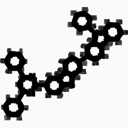 c1ccc(-c2cc(-c3ccccc3)nc(-c3ccc4sc5cc(-c6ccc7c8ccccc8n(-c8ccccc8)c7c6)ccc5c4c3)n2)cc1